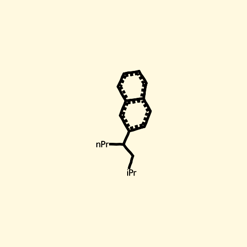 CCCC(CC(C)C)c1ccc2ccccc2c1